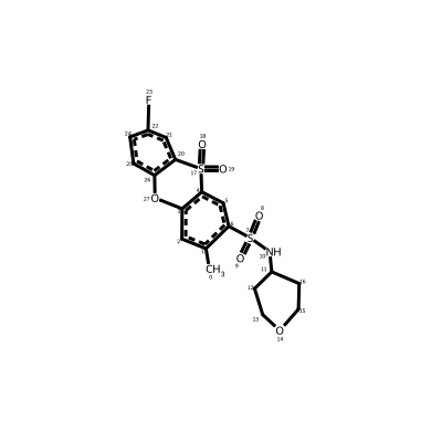 Cc1cc2c(cc1S(=O)(=O)NC1CCOCC1)S(=O)(=O)c1cc(F)ccc1O2